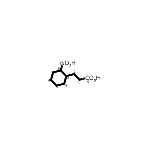 O=C(O)CCC1CC[CH]CC1S(=O)(=O)O